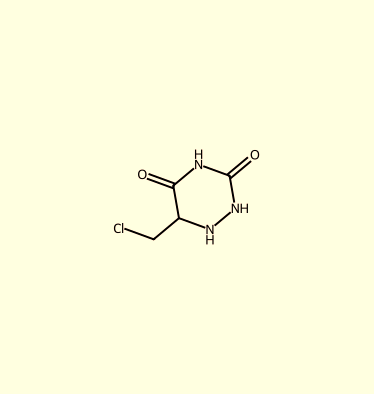 O=C1NNC(CCl)C(=O)N1